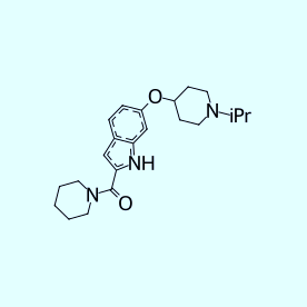 CC(C)N1CCC(Oc2ccc3cc(C(=O)N4CCCCC4)[nH]c3c2)CC1